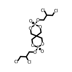 O=P1(OCC(Cl)CCl)OCC2(CO1)COP(=O)(OCC(Cl)CCl)OC2